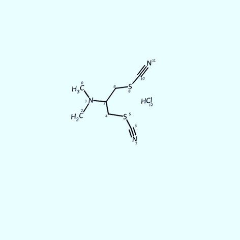 CN(C)C(CSC#N)CSC#N.Cl